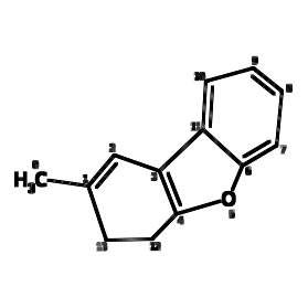 CC1=Cc2c(oc3ccccc23)CC1